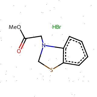 Br.COC(=O)CN1CSc2ccccc21